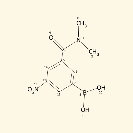 CN(C)C(=O)c1cc(B(O)O)cc([N+](=O)[O-])c1